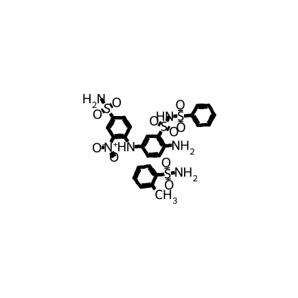 Cc1ccccc1S(N)(=O)=O.Nc1ccc(Nc2ccc(S(N)(=O)=O)cc2[N+](=O)[O-])cc1S(=O)(=O)NS(=O)(=O)c1ccccc1